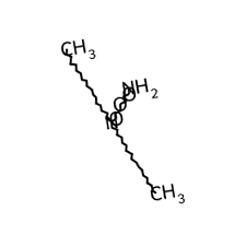 CCCCCCCCCCCCCCCCCCN(CCCCCCCCCCCCCCCCCC)OCCOCCON